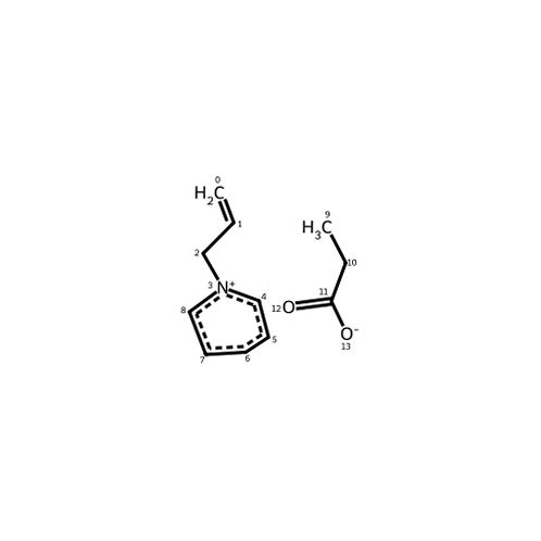 C=CC[n+]1ccccc1.CCC(=O)[O-]